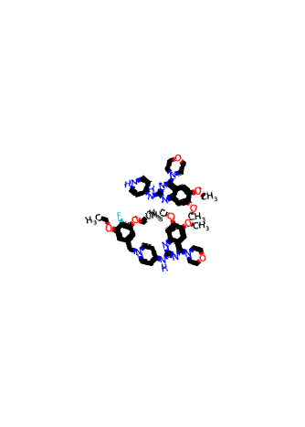 CCOc1cc(CN2CCC(Nc3nc(N4CCOCC4)c4cc(OC)c(OC)cc4n3)CC2)cc(OCC)c1F.COc1cc2nc(NC3CCNCC3)nc(N3CCOCC3)c2cc1OC